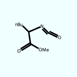 CCCCC(N=C=O)C(=O)OC